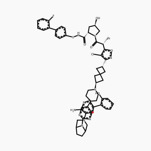 CC(C)[C@@H](C(=O)N1C[C@H](O)C[C@H]1C(=O)NOc1ccc(-c2ccccc2F)cc1)c1onc([C@H]2CC3(C2)C[C@H](N2CCC(c4cnc(N5C6CCC5CN(c5cc(-c7ccccc7O)nnc5N)C6)nc4)CC2)C3)c1Cl